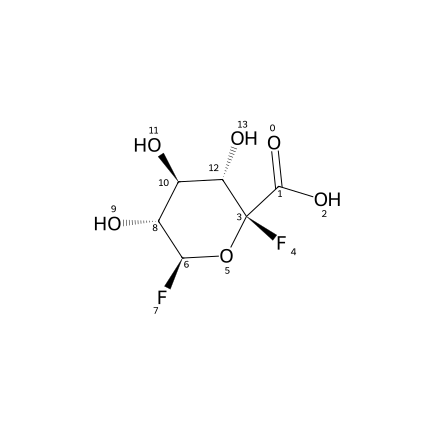 O=C(O)[C@]1(F)O[C@@H](F)[C@H](O)[C@@H](O)[C@@H]1O